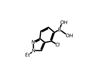 CCn1cc2c(Cl)c(B(O)O)ccc2n1